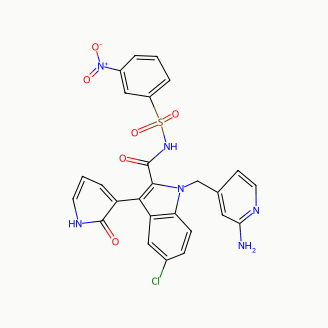 Nc1cc(Cn2c(C(=O)NS(=O)(=O)c3cccc([N+](=O)[O-])c3)c(-c3ccc[nH]c3=O)c3cc(Cl)ccc32)ccn1